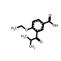 CCOc1ccc(C(=O)O)cc1C(=O)C(C)C